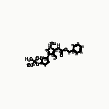 CC(C)(C)n1nc([C@H]2CC[C@@H](O[Si](C)(C)C(C)(C)C)C2)c(I)c1NC(=O)OCc1ccccc1